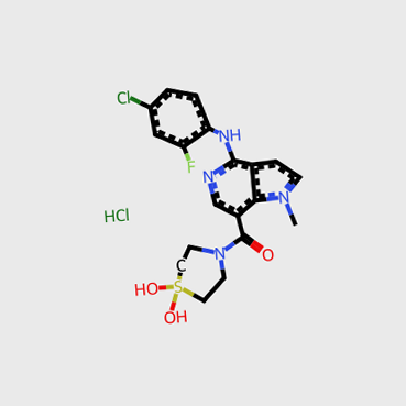 Cl.Cn1ccc2c(Nc3ccc(Cl)cc3F)ncc(C(=O)N3CCS(O)(O)CC3)c21